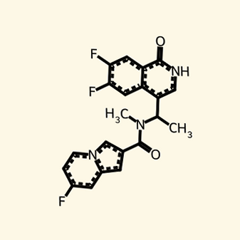 CC(c1c[nH]c(=O)c2cc(F)c(F)cc12)N(C)C(=O)c1cc2cc(F)ccn2c1